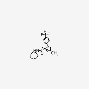 Cc1cn(-c2ccc(C(F)(F)F)cc2)c(=NC(=O)NC2CCCCCC2)s1